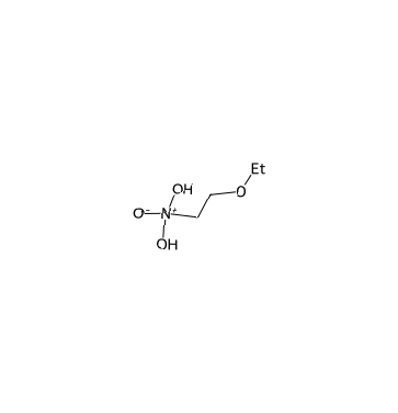 CCOCC[N+]([O-])(O)O